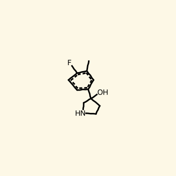 Cc1cc(C2(O)CCNC2)ccc1F